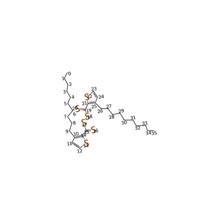 CCCCCCCCCCc1ccsc1C(=S)SSC(=S)c1sccc1CCCCCCCCCC